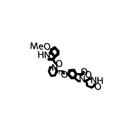 COc1cccc2c(C(=O)N3CCCC[C@@H]3COc3ccc4c(c3)CN(C3CCC(=O)NC3=O)C4=O)c[nH]c12